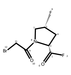 O=C(F)[C@H]1C[C@@H](F)CN1C(=O)CBr